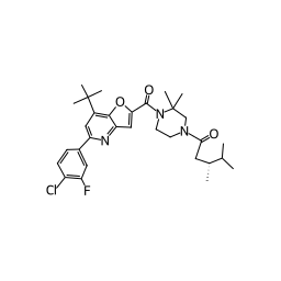 CC(C)[C@H](C)CC(=O)N1CCN(C(=O)c2cc3nc(-c4ccc(Cl)c(F)c4)cc(C(C)(C)C)c3o2)C(C)(C)C1